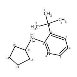 CC(C)(C)c1cccnc1NC1CCCC1